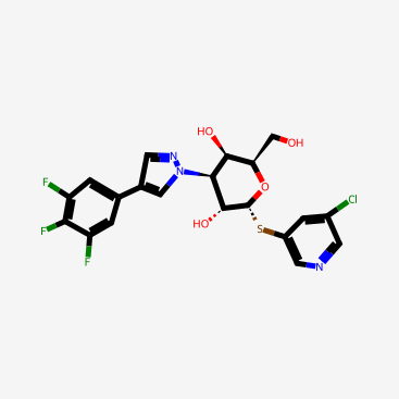 OC[C@H]1O[C@H](Sc2cncc(Cl)c2)[C@H](O)[C@@H](n2cc(-c3cc(F)c(F)c(F)c3)cn2)[C@H]1O